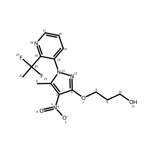 Cc1c([N+](=O)[O-])c(OCCCO)nn1-c1cccnc1C(C)(F)F